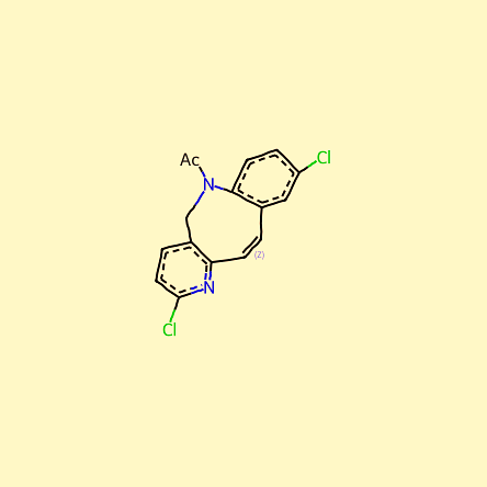 CC(=O)N1Cc2ccc(Cl)nc2/C=C\c2cc(Cl)ccc21